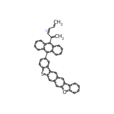 C=C/C=C\C(=C)c1c2ccccc2c(-c2ccc3sc4cc5cc6oc7ccccc7c6cc5cc4c3c2)c2ccccc12